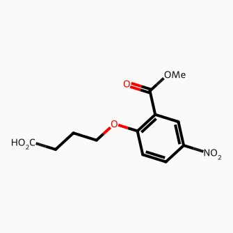 COC(=O)c1cc([N+](=O)[O-])ccc1OCCCC(=O)O